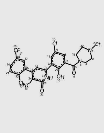 CCN1CCN(C(=O)c2cc(Cl)cc(-c3cc(-c4cc(C(F)(F)F)ccc4Cl)c(C#N)c(=O)[nH]3)c2O)CC1